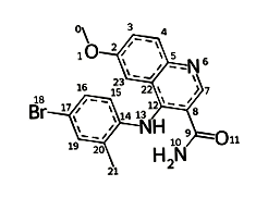 COc1ccc2ncc(C(N)=O)c(Nc3ccc(Br)cc3C)c2c1